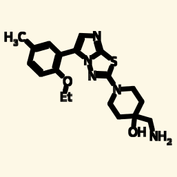 CCOc1ccc(C)cc1-c1cnc2sc(N3CCC(O)(CN)CC3)nn12